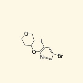 Brc1cnc(OC2CCOCC2)c(I)c1